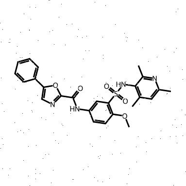 COc1ccc(NC(=O)c2ncc(-c3ccccc3)o2)cc1S(=O)(=O)Nc1c(C)cc(C)nc1C